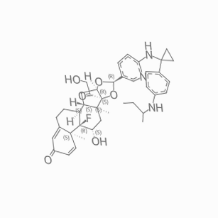 CCC(C)Nc1ccc(C2(Nc3ccc([C@@H]4O[C@@H]5C[C@H]6[C@@H]7CCC8=CC(=O)C=C[C@]8(C)[C@@]7(F)[C@@H](O)C[C@]6(C)[C@]5(C(=O)CO)O4)cn3)CC2)cc1